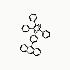 c1ccc(-c2nc(-c3ccccc3)n(-c3ccc(-c4c5ccccc5cc5ccccc45)cc3)c2-c2ccccc2)cc1